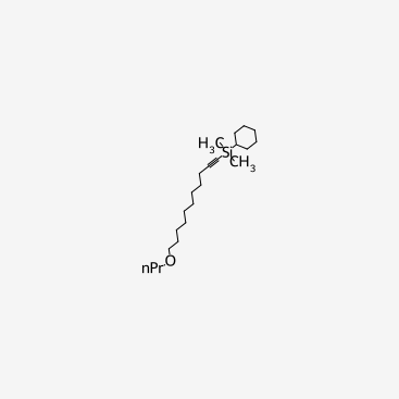 CCCOCCCCCCCCCC#C[Si](C)(C)C1CCCCC1